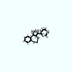 c1ccc2c(c1)CCCc1c-2n[nH]c1-c1ccncc1